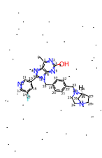 Cc1nc(O)nc2c1nc(-c1cncc(F)c1)n2Cc1ccc(CN2CCN3CC[C@H]2C3)cc1